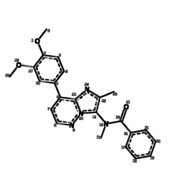 COc1ccc(-c2ccnn3c(N(C)C(=O)c4ccccc4)c(C)nc23)cc1OC